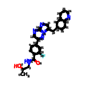 C[C@@H](O)CNC(=O)c1ccc(-c2cnc3ncc(Cc4ccc5ncccc5c4)n3n2)cc1F